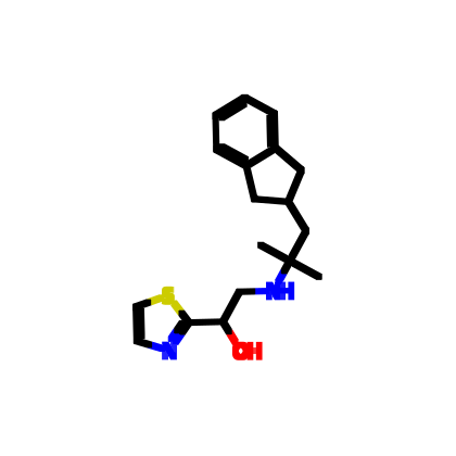 CC(C)(CC1Cc2ccccc2C1)NCC(O)c1nccs1